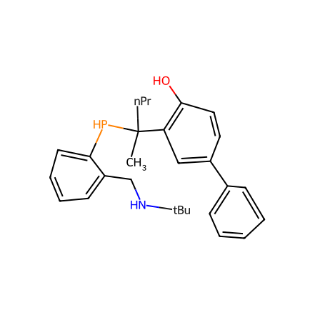 CCCC(C)(Pc1ccccc1CNC(C)(C)C)c1cc(-c2ccccc2)ccc1O